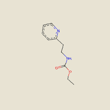 CCOC(=O)NCCc1ccccn1